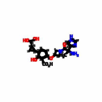 CC(N)(C(=O)N1CC(Oc2ccc(C3C[C@H]3B(O)O)c(O)c2C(=O)O)C1)c1c[nH]cn1